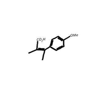 COc1ccc(/C(C)=C(/C)C(=O)O)cc1